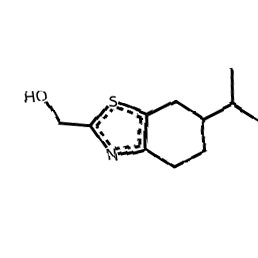 CC(C)C1CCc2nc(CO)sc2C1